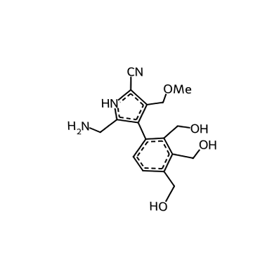 COCc1c(C#N)[nH]c(CN)c1-c1ccc(CO)c(CO)c1CO